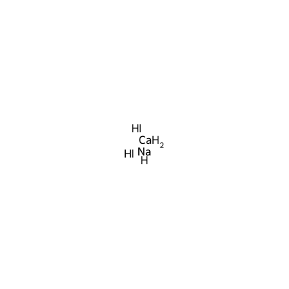 I.I.[CaH2].[NaH]